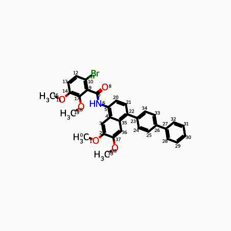 COc1cc2c(NC(=O)c3c(Br)ccc(OC)c3OC)ccc(-c3ccc(-c4ccccc4)cc3)c2cc1OC